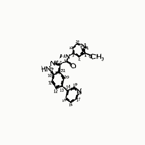 Cc1cc(NC(=O)c2n[nH]c3ccc(-c4cccnc4)cc23)ccn1